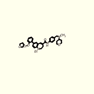 C1CCOC1.CCOc1ccccc1-c1ccc2c(c1)C=C(C(=O)Nc1ccc(CN(C)C3CCOCC3)cc1)CCN2CC